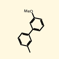 COc1[c]ccc(-c2cccc(C)c2)c1